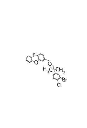 CC(C)(COCc1ccc(F)c(Oc2ccccc2)c1)c1ccc(Cl)c(Br)c1